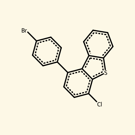 Clc1ccc(-c2ccc(Br)cc2)c2c1sc1ccccc12